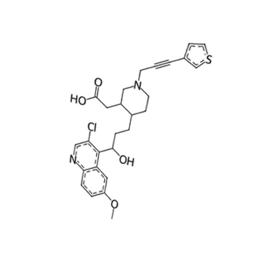 COc1ccc2ncc(Cl)c(C(O)CCC3CCN(CC#Cc4ccsc4)CC3CC(=O)O)c2c1